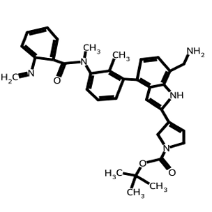 C=Nc1ccccc1C(=O)N(C)c1cccc(-c2ccc(CN)c3[nH]c(C4=CCN(C(=O)OC(C)(C)C)C4)cc23)c1C